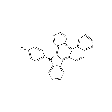 Fc1ccc(-n2c3ccccc3c3c4ccc5ccccc5c4c4ccccc4c32)cc1